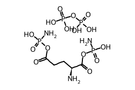 N[C@@H](CCC(=O)OP(N)(=O)O)C(=O)OP(N)(=O)O.O=P(O)(O)OP(=O)(O)O